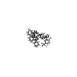 Cc1ccc(C(C)(C)C)cc1C(=O)N1CCN(c2cnn(-c3ccccc3)c(=O)c2OC(c2ccccc2)c2ccccc2)CC1